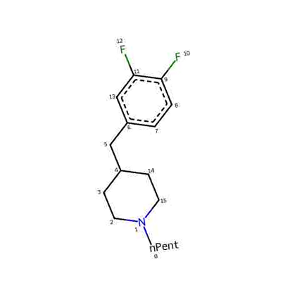 CCCCCN1CCC(Cc2ccc(F)c(F)c2)CC1